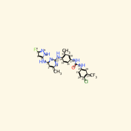 Cc1cc(Nc2cc(F)n[nH]2)nc(Nc2ccc(NC(=O)Nc3ccc(Cl)c(C(F)(F)F)c3)cc2C)n1